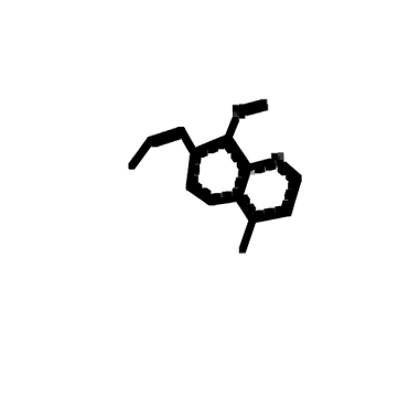 C=Nc1c(/C=C\C)ccc2c(C)ccnc12